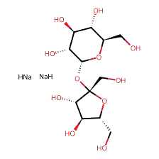 OC[C@H]1O[C@@](CO)(O[C@H]2O[C@H](CO)[C@@H](O)[C@H](O)[C@H]2O)[C@@H](O)[C@@H]1O.[NaH].[NaH]